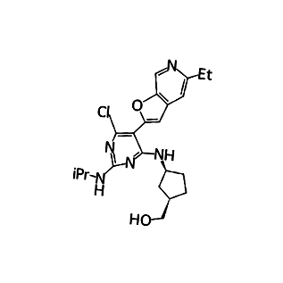 CCc1cc2cc(-c3c(Cl)nc(NC(C)C)nc3N[C@H]3CC[C@@H](CO)C3)oc2cn1